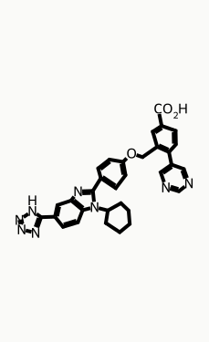 O=C(O)c1ccc(-c2cncnc2)c(COc2ccc(-c3nc4cc(-c5nnn[nH]5)ccc4n3C3CCCCC3)cc2)c1